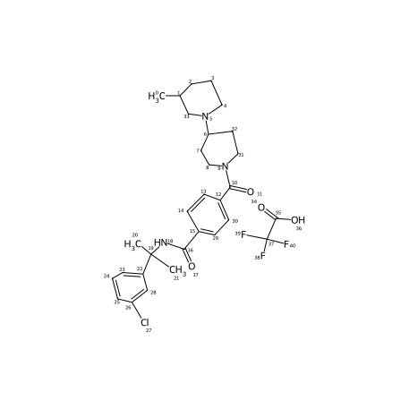 CC1CCCN(C2CCN(C(=O)c3ccc(C(=O)NC(C)(C)c4cccc(Cl)c4)cc3)CC2)C1.O=C(O)C(F)(F)F